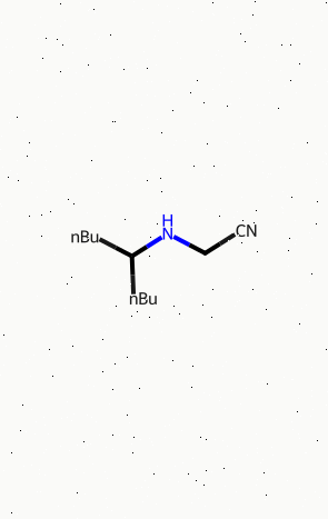 CCCCC(CCCC)NCC#N